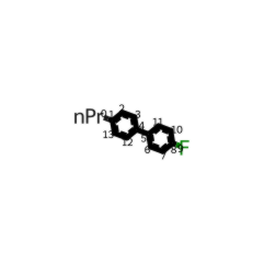 CCCc1ccc(-c2ccc(F)cc2)cc1